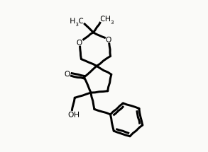 CC1(C)OCC2(CCC(CO)(Cc3ccccc3)C2=O)CO1